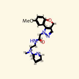 COc1ccc2c(c1)-c1c(cnn1CC(=O)NCCN(C)c1ccccn1)CO2